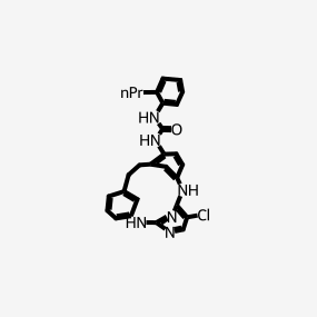 CCCc1ccccc1NC(=O)Nc1ccc2cc1CCc1cccc(c1)Nc1ncc(Cl)c(n1)N2